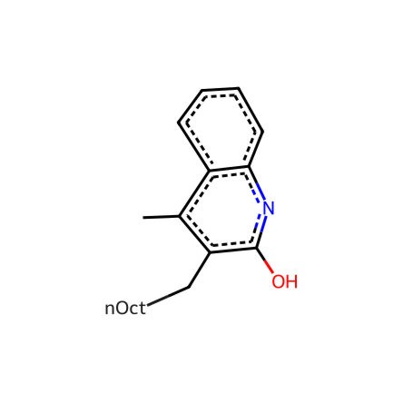 CCCCCCCCCc1c(O)nc2ccccc2c1C